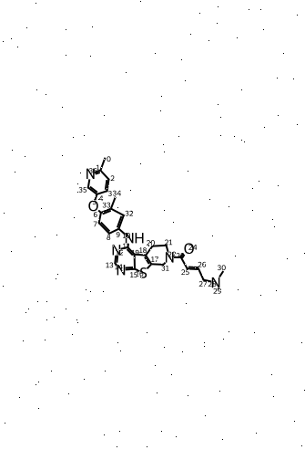 Cc1ccc(Oc2ccc(Nc3ncnc4sc5c(c34)CCN(C(=O)/C=C/CN(C)C)C5)cc2C)cn1